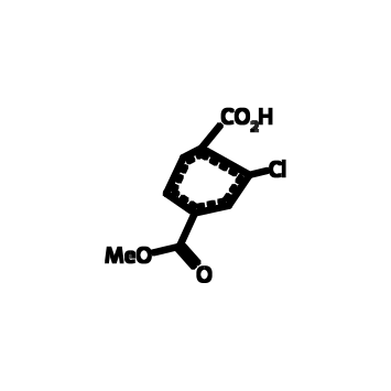 COC(=O)c1ccc(C(=O)O)c(Cl)c1